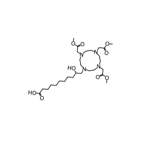 COC(=O)CN1CCN(CC(=O)OC)CCN(CC(O)CCCCCCCCC(=O)O)CCN(CC(=O)OC)CC1